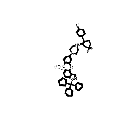 O=C(O)c1ccc(N2CCN(CC3=C(c4ccc(Cl)cc4)CCC(F)(F)C3)CC2)cc1Oc1cccc2c1cnn2C(c1ccccc1)(c1ccccc1)c1ccccc1